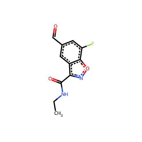 CCNC(=O)c1noc2c(F)cc(C=O)cc12